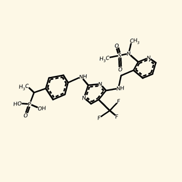 CC(c1ccc(Nc2ncc(C(F)(F)F)c(NCc3cccnc3N(C)S(C)(=O)=O)n2)cc1)P(=O)(O)O